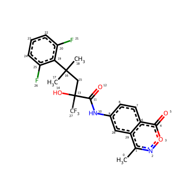 Cc1noc(=O)c2ccc(NC(=O)C(O)(CC(C)(C)c3c(F)cccc3F)C(F)(F)F)cc12